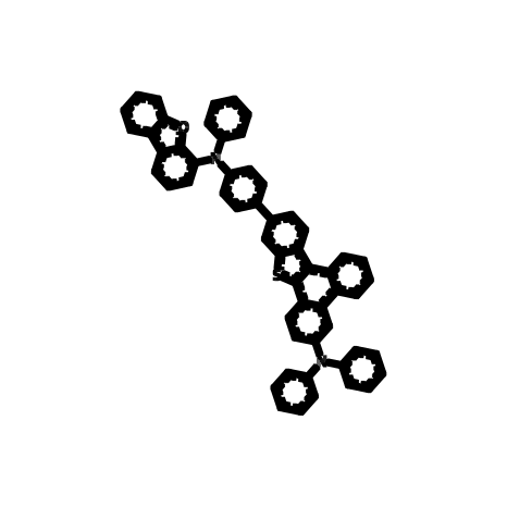 c1ccc(N(c2ccccc2)c2ccc3c(c2)c2ccccc2c2c4ccc(-c5ccc(N(c6ccccc6)c6cccc7c6oc6ccccc67)cc5)cc4sc32)cc1